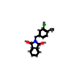 N#Cc1ccc(CN2C(=O)c3ccccc3C2=O)cc1Br